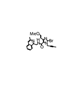 CC#CCn1c(Br)nc(C=COC)c1C(=O)NCc1nc(C)cc2ccccc12